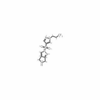 O=S(=O)(c1cnn(CCC(F)(F)F)c1)n1cc2c(n1)CNC2